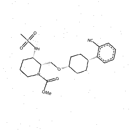 COC(=O)N1CCC[C@H](NS(C)(=O)=O)[C@@H]1CO[C@H]1CC[C@@H](c2ccccc2C#N)CC1